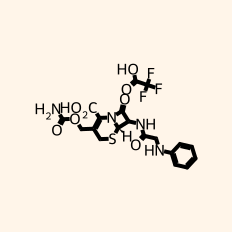 NC(=O)OCC1=C(C(=O)O)N2C(=O)C(NC(=O)CNc3ccccc3)[C@H]2SC1.O=C(O)C(F)(F)F